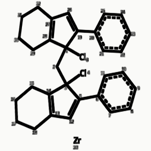 ClC1(CC2(Cl)C(c3ccccc3)=CC3=C2CCCC3)C(c2ccccc2)=CC2=C1CCCC2.[Zr]